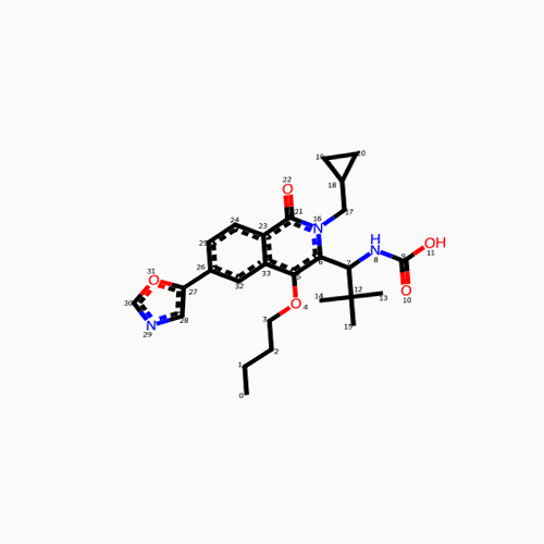 CCCCOc1c(C(NC(=O)O)C(C)(C)C)n(CC2CC2)c(=O)c2ccc(-c3cnco3)cc12